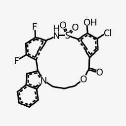 O=C1OCCCn2c(cc3ccccc32)-c2cc(c(F)cc2F)NS(=O)(=O)c2cc1cc(Cl)c2O